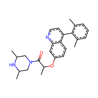 Cc1cccc(C)c1-c1ccnc2cc(OC(C)C(=O)N3CC(C)NC(C)C3)ccc12